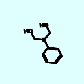 OCB(CO)c1ccccc1